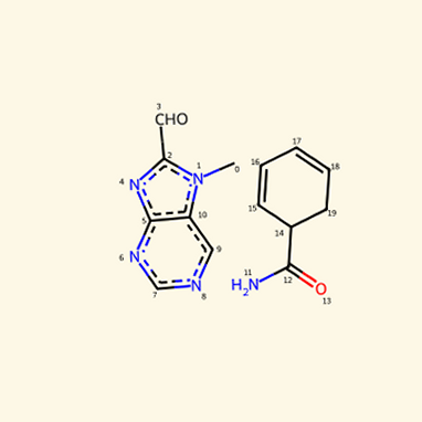 Cn1c(C=O)nc2ncncc21.NC(=O)C1C=CC=CC1